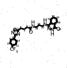 O=C(CCCc1nc(-c2ccc(C(F)(F)F)cc2)no1)NCCCNc1n[nH]c(=O)c2ccccc12